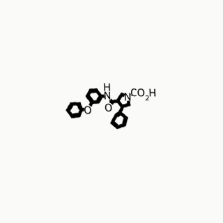 O=C(Nc1cccc(Oc2ccccc2)c1)C1CN(C(=O)O)CC1c1ccccc1